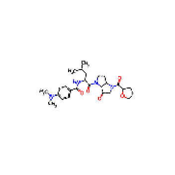 CC(C)CC(NC(=O)c1ccc(N(C)C)cc1)C(=O)N1CCC2C1C(=O)CN2C(=O)C1CCCO1